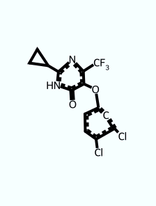 O=c1[nH]c(C2CC2)nc(C(F)(F)F)c1Oc1ccc(Cl)c(Cl)c1